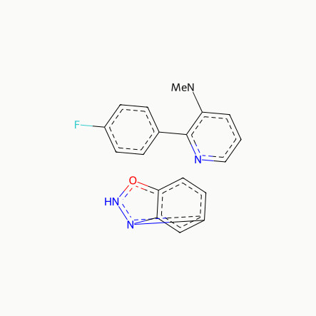 CNc1cccnc1-c1ccc(F)cc1.c1cc2cc3c1o[nH]n2-3